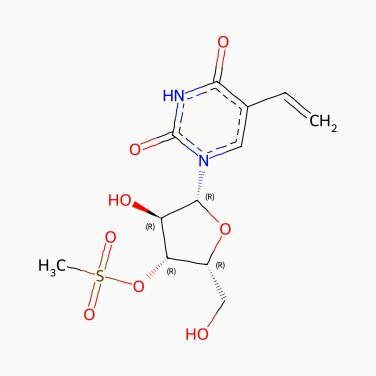 C=Cc1cn([C@@H]2O[C@H](CO)[C@H](OS(C)(=O)=O)[C@H]2O)c(=O)[nH]c1=O